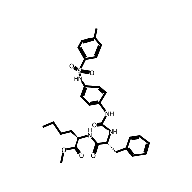 CCCC[C@@H](NC(=O)[C@@H](Cc1ccccc1)NC(=O)Nc1ccc(NS(=O)(=O)c2ccc(C)cc2)cc1)C(=O)OC